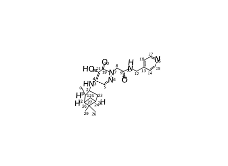 C[C@H]1C(Nc2cnn(CC(=O)NCc3ccncc3)c(=O)c2O)C[C@@H]2C[C@H]1C2(C)C